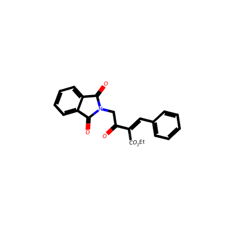 CCOC(=O)C(=Cc1ccccc1)C(=O)CN1C(=O)c2ccccc2C1=O